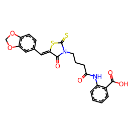 O=C(CCCN1C(=O)/C(=C/c2ccc3c(c2)OCO3)SC1=S)Nc1ccccc1C(=O)O